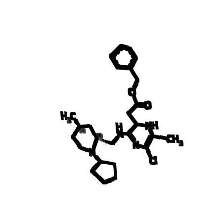 CC1=C(Cl)N=C(NC[C@H]2C[C@H](C)CCN2C2CCCC2)C(CC(=O)OCc2ccccc2)N1